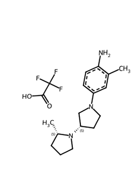 Cc1cc(N2CC[C@H](N3CCC[C@@H]3C)C2)ccc1N.O=C(O)C(F)(F)F